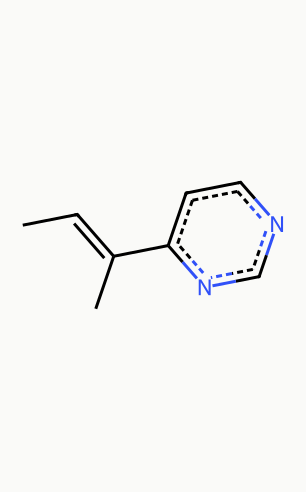 C/C=C(\C)c1ccncn1